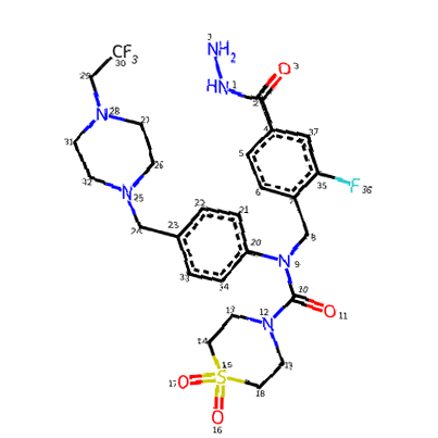 NNC(=O)c1ccc(CN(C(=O)N2CCS(=O)(=O)CC2)c2ccc(CN3CCN(CC(F)(F)F)CC3)cc2)c(F)c1